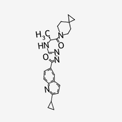 C[C@H](Nc1nnc(-c2ccc3nc(C4CC4)ccc3c2)o1)C(=O)N1CCC2(CC1)CC2